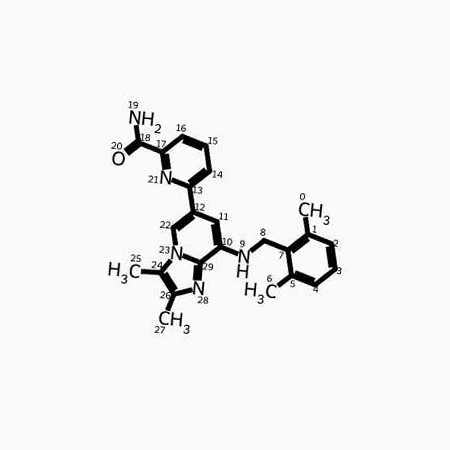 Cc1cccc(C)c1CNc1cc(-c2cccc(C(N)=O)n2)cn2c(C)c(C)nc12